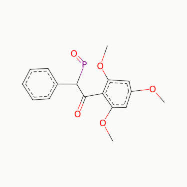 COc1cc(OC)c(C(=O)C(P=O)c2ccccc2)c(OC)c1